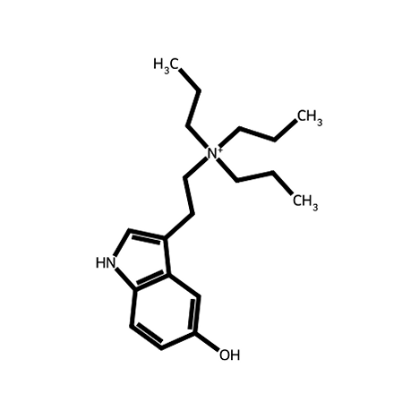 CCC[N+](CCC)(CCC)CCc1c[nH]c2ccc(O)cc12